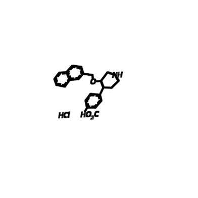 Cl.O=C(O)c1ccc(C2CCNCC2OCc2ccc3ccccc3c2)cc1